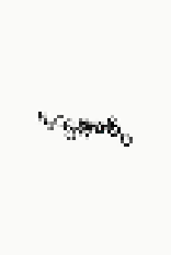 CCOC(=O)c1cnc(N2CC3CC2CN3C(=O)OCc2ccccc2)nc1